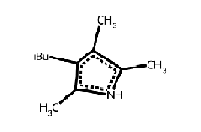 CCC(C)c1c(C)[nH]c(C)c1C